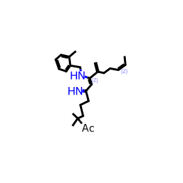 C=C(CC/C=C\C)/C(=C/C(=N)CCCC(C)(C)C(C)=O)NCc1ccccc1C